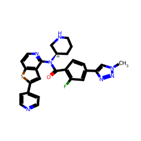 Cn1cc(-c2ccc(C(=O)N(c3nccc4sc(-c5ccncc5)cc34)[C@@H]3CCCNC3)c(F)c2)nn1